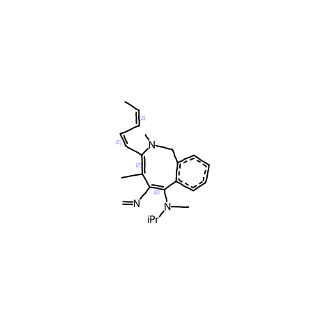 C=NC1=C(\N(C)C(C)C)c2ccccc2CN(C)C(/C=C\C=C/C)=C\1C